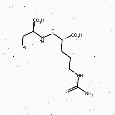 CC(C)C[C@H](NN[C@@H](CCCNC(N)=O)C(=O)O)C(=O)O